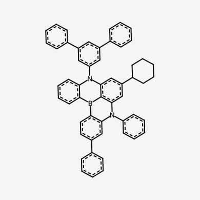 c1ccc(-c2cc(-c3ccccc3)cc(N3c4ccccc4B4c5ccc(-c6ccccc6)cc5N(c5ccccc5)c5cc(C6CCCCC6)cc3c54)c2)cc1